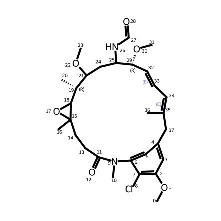 COc1cc2cc(c1Cl)N(C)C(=O)CCC1(C)OC1[C@H](C)C(OC)CC(NC=O)[C@H](OC)/C=C/C=C(\C)C2